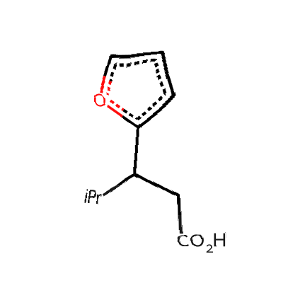 CC(C)C(CC(=O)O)c1ccco1